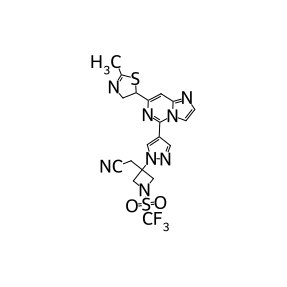 CC1=NCC(c2cc3nccn3c(-c3cnn(C4(CC#N)CN(S(=O)(=O)C(F)(F)F)C4)c3)n2)S1